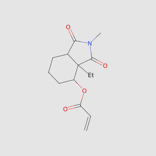 C=CC(=O)OC1CCCC2C(=O)N(C)C(=O)C12CC